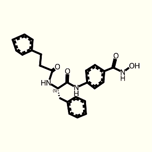 O=C(CCc1ccccc1)N[C@@H](Cc1ccccc1)C(=O)Nc1ccc(C(=O)NO)cc1